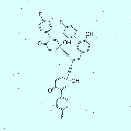 O=C1C=CC(O)(C#CC(C#CC2(O)C=CC(=O)C(c3ccc(F)cc3)=C2)=Cc2ccc(O)c(-c3ccc(F)cc3)c2)C=C1c1ccc(F)cc1